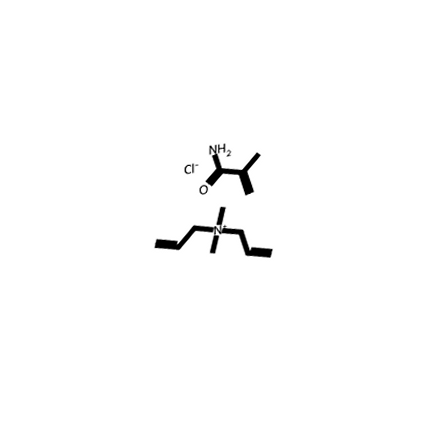 C=C(C)C(N)=O.C=CC[N+](C)(C)CC=C.[Cl-]